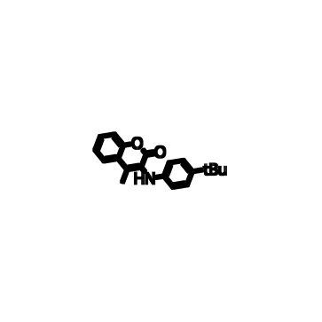 Cc1c(Nc2ccc(C(C)(C)C)cc2)c(=O)oc2ccccc12